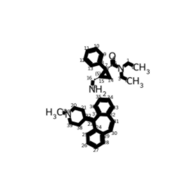 CCN(CC)C(=O)[C@]1(c2ccccc2)C[C@@H]1CN.CN1CCC(=C2c3ccccc3C=Cc3ccccc32)CC1